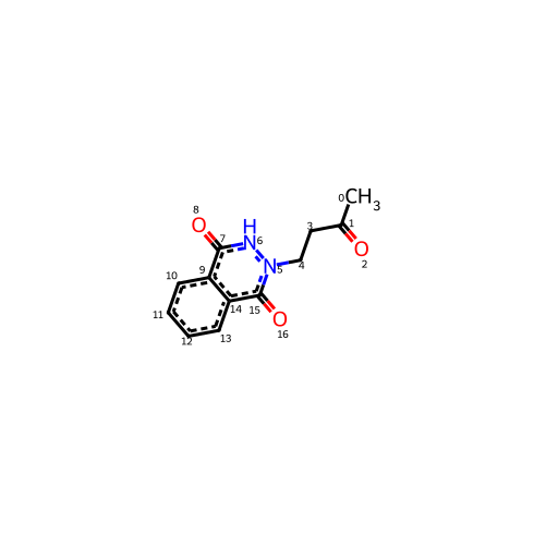 CC(=O)CCn1[nH]c(=O)c2ccccc2c1=O